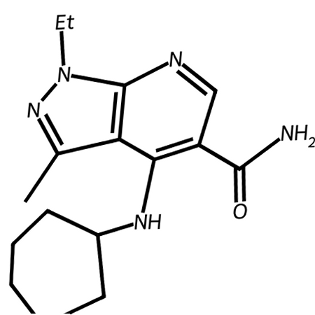 CCn1nc(C)c2c(NC3CCCCC3)c(C(N)=O)cnc21